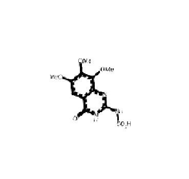 COc1cc2c(=O)[nH]c(NC(=O)O)nc2c(OC)c1OC